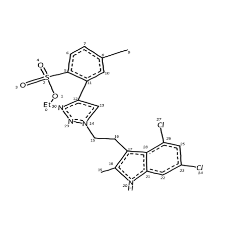 CCOS(=O)(=O)c1ccc(C)cc1-c1cn(CCc2c(C)[nH]c3cc(Cl)cc(Cl)c23)nn1